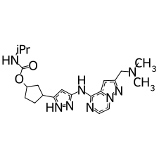 CC(C)NC(=O)OC1CCC(c2cc(Nc3nccn4nc(CN(C)C)cc34)n[nH]2)C1